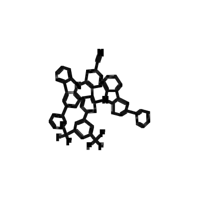 N#Cc1ccc(-c2ccc(-c3cc(C(F)(F)F)cc(C(F)(F)F)c3)cc2-n2c3ccccc3c3cc(-c4ccccc4)ccc32)c(-n2c3ccccc3c3cc(-c4ccccc4)ccc32)c1